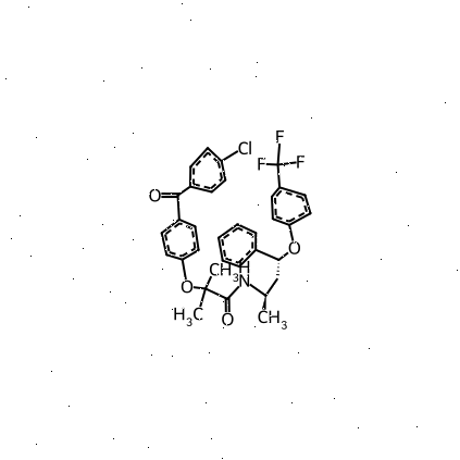 C[C@H](C[C@@H](Oc1ccc(C(F)(F)F)cc1)c1ccccc1)NC(=O)C(C)(C)Oc1ccc(C(=O)c2ccc(Cl)cc2)cc1